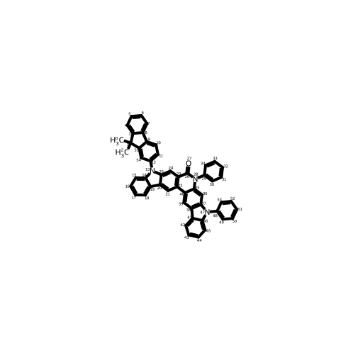 CC1(C)c2ccccc2-c2ccc(-n3c4ccccc4c4cc5c(cc43)c(=O)n(-c3ccccc3)c3cc4c(cc53)c3ccccc3n4-c3ccccc3)cc21